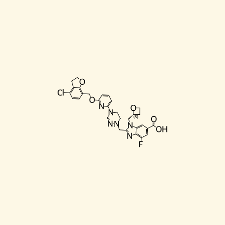 O=C(O)c1cc(F)c2nc(CN3CCN(c4cccc(OCc5ccc(Cl)c6c5OCC6)n4)C=N3)n(C[C@@H]3CCO3)c2c1